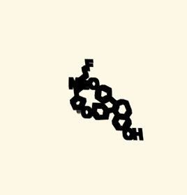 COc1ccc(C2=C(c3ccc(O[C@H]4CCC(CCCCCF)C4)cc3)c3ccc(O)cc3CCC2)cc1